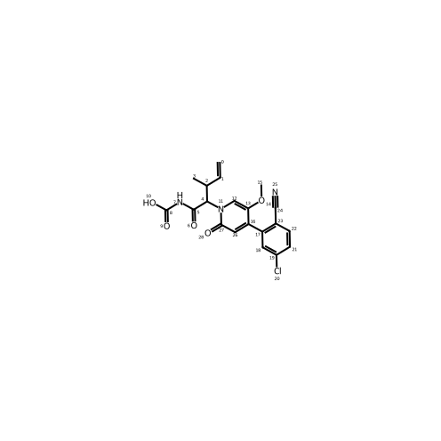 C=CC(C)C(C(=O)NC(=O)O)n1cc(OC)c(-c2cc(Cl)ccc2C#N)cc1=O